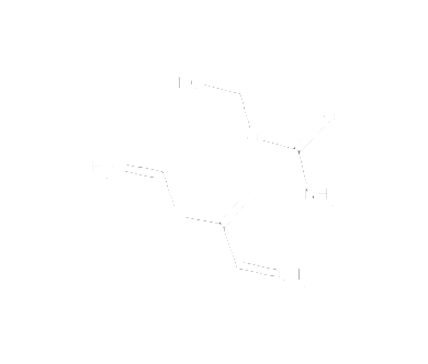 C=COC(=O)C=C.CCOC(N)=O